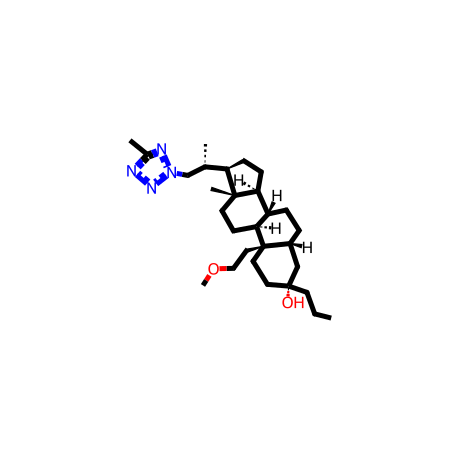 CCC[C@@]1(O)CC[C@@]2(CCOC)[C@H](CC[C@H]3[C@@H]4CC[C@H]([C@@H](C)Cn5nnc(C)n5)[C@@]4(C)CC[C@@H]32)C1